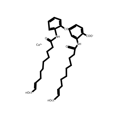 CCCCCCCCC=CCCCCCCCC(=O)Nc1ccccc1C(=O)[O-].CCCCCCCCC=CCCCCCCCC(=O)Nc1ccccc1C(=O)[O-].[Ca+2]